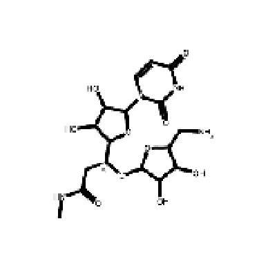 CNC(=O)C[C@H](OC1OC(CN)C(O)C1O)C1OC(n2ccc(=O)[nH]c2=O)C(O)C1O